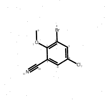 COc1c(Br)cc(Cl)cc1C#N